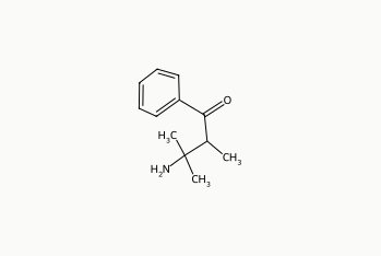 CC(C(=O)c1ccccc1)C(C)(C)N